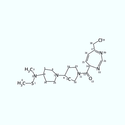 CSN(C)C1CCN(C2CCN(C(=O)C3C=CC(CCl)=NC=N3)CC2)CC1